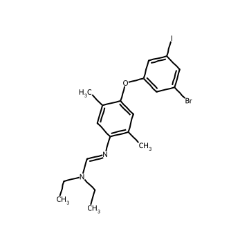 CCN(/C=N/c1cc(C)c(Oc2cc(Br)cc(I)c2)cc1C)CC